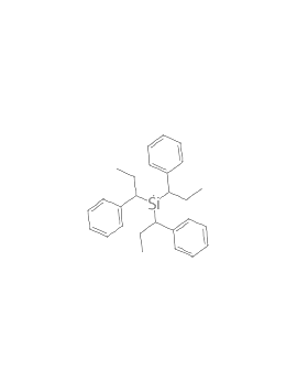 CCC(c1ccccc1)[Si](C(CC)c1ccccc1)C(CC)c1ccccc1